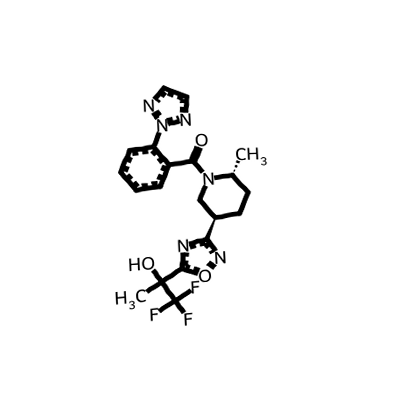 C[C@@H]1CC[C@@H](c2noc(C(C)(O)C(F)(F)F)n2)CN1C(=O)c1ccccc1-n1nccn1